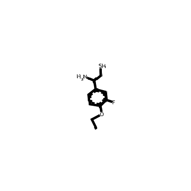 CCOc1ccc(C(N)CS)cc1F